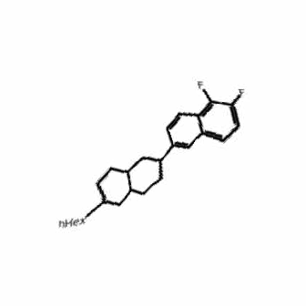 CCCCCCC1CCC2CC(c3ccc4c(F)c(F)ccc4c3)CCC2C1